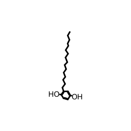 CCCCCCCCCCCCCCCCc1cc(O)ccc1O